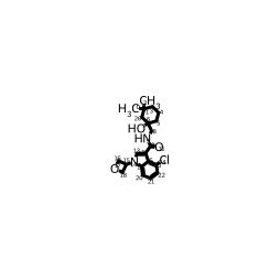 CC1(C)CCCC(O)(CNC(=O)c2cn(C3COC3)c3cccc(Cl)c23)C1